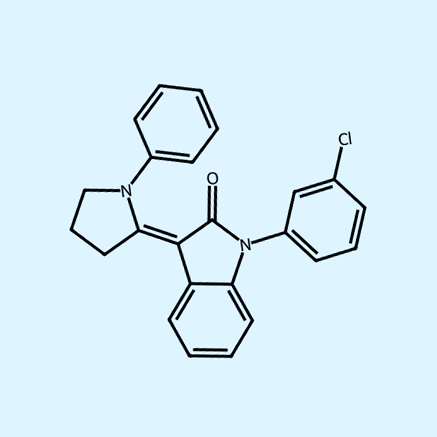 O=C1C(=C2CCCN2c2ccccc2)c2ccccc2N1c1cccc(Cl)c1